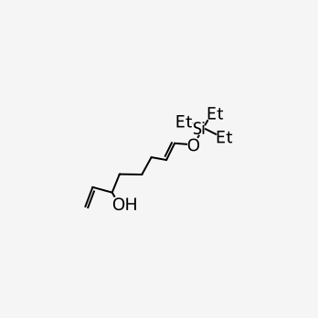 C=CC(O)CCCC=CO[Si](CC)(CC)CC